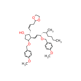 CCCC[C@H](C)C[C@@H](/C=C/[C@H]1C(OCc2ccc(OC)cc2)C[C@H](O)[C@@H]1C/C=C\CC1OCCO1)OCc1ccc(OC)cc1